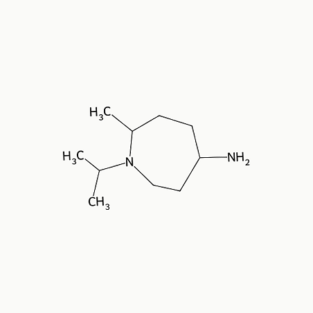 CC(C)N1CCC(N)CCC1C